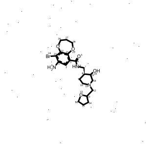 Nc1cc(C(=O)NC[C@@H]2CCN(CC3CCCO3)CC2O)c2c(c1Br)OCCCO2